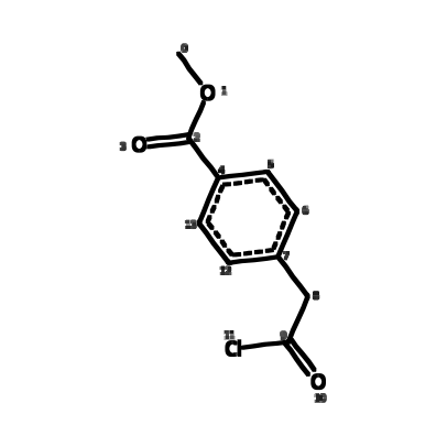 COC(=O)c1ccc(CC(=O)Cl)cc1